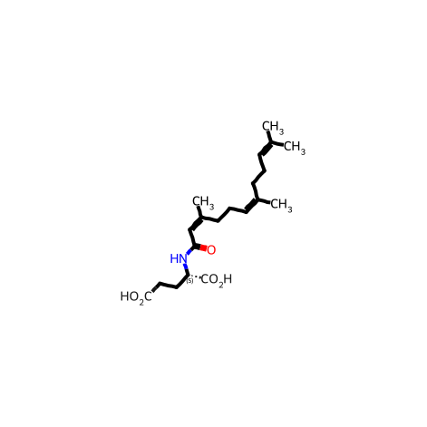 CC(C)=CCCC(C)=CCCC(C)=CC(=O)N[C@@H](CCC(=O)O)C(=O)O